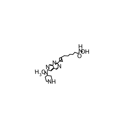 CN(c1cc2cnc(C34CC(CCCCCC(=O)NO)(C3)C4)nc2cn1)C1CCNCC1